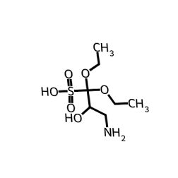 CCOC(OCC)(C(O)CN)S(=O)(=O)O